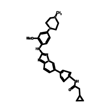 COc1cc(N2CCN(C)CC2)ccc1Nc1nc2ccc(-c3ccc(NC(=O)CC4CC4)cc3)cn2n1